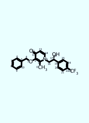 Cc1c(OCc2ccccc2)c(=O)ccn1C[C@@H](O)c1ccc(C(F)(F)F)cc1